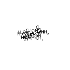 Cc1nc2c(N)nc(Cl)nc2n1[C@@H]1O[C@H](C)[C@@H](O[Si](C(C)C)(C(C)C)C(C)C)C1=O